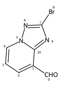 O=Cc1cccn2nc(Br)nc12